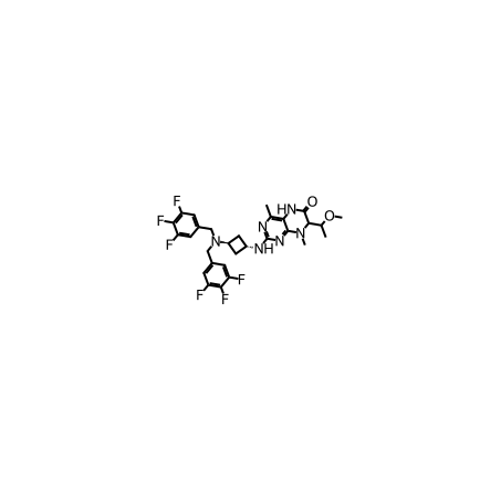 COC(C)C1C(=O)Nc2c(C)nc(N[C@H]3C[C@H](N(Cc4cc(F)c(F)c(F)c4)Cc4cc(F)c(F)c(F)c4)C3)nc2N1C